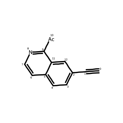 C#Cc1ccc2ccnc(C(C)=O)c2c1